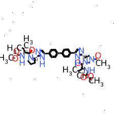 COC(=O)N[C@H](C(=O)N1CCC[C@H]1c1ncc(-c2ccc(-c3ccc(-c4cnc([C@@H]5CN(C(C)=O)CN5C(=O)[C@@H](NC(=O)OC)C(C)C)[nH]4)cc3)cc2)[nH]1)C(C)C